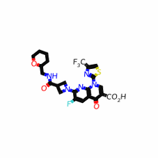 O=C(O)c1cn(-c2nc(C(F)(F)F)cs2)c2nc(N3CC(C(=O)NCC4CCCCO4)C3)c(F)cc2c1=O